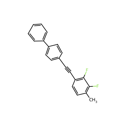 Cc1ccc(C#Cc2ccc(-c3ccccc3)cc2)c(F)c1F